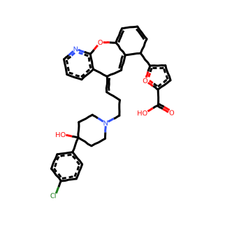 O=C(O)c1ccc(C2C=CC=C3Oc4ncccc4C(=CCCN4CCC(O)(c5ccc(Cl)cc5)CC4)C=C32)o1